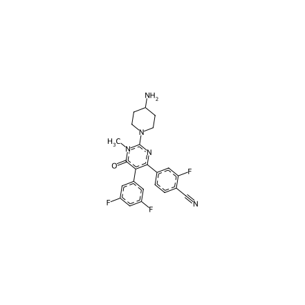 Cn1c(N2CCC(N)CC2)nc(-c2ccc(C#N)c(F)c2)c(-c2cc(F)cc(F)c2)c1=O